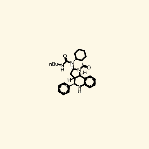 CCCCNC(=O)N[C@@H]1CCCC[C@@H]1C(=O)N1CC[C@H]2[C@H](c3ccccc3)Nc3ccccc3[C@@H]21